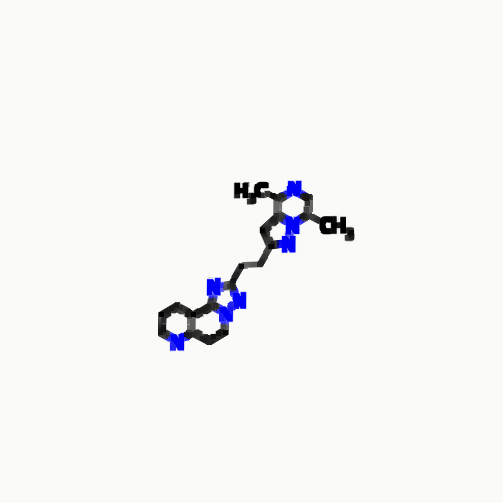 Cc1ncc(C)n2nc(CCc3nc4c5cccnc5ccn4n3)cc12